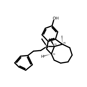 CN(CCc1ccccc1)[C@H]1[C@H]2CCCCC[C@]1(C)c1cc(O)ccc1C2